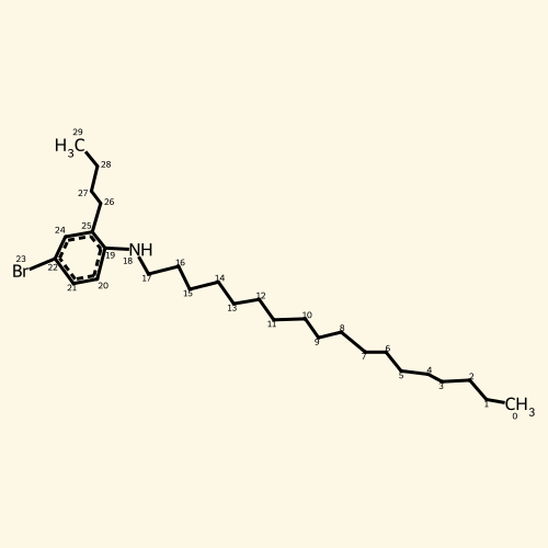 CCCCCCCCCCCCCCCCCCNc1ccc(Br)cc1CCCC